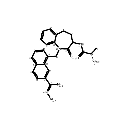 CN[C@@H](C)C(=O)NC1CCc2ccccc2N(Cc2cccc3ccc(/C(N)=N/N)cc23)C1=O